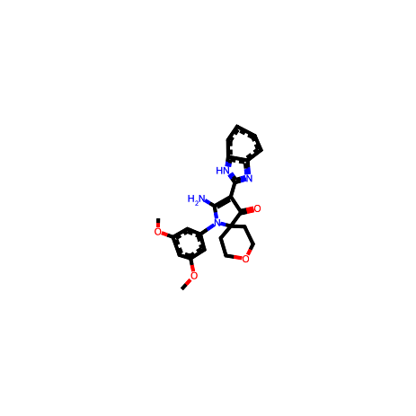 COc1cc(OC)cc(N2C(N)=C(c3nc4ccccc4[nH]3)C(=O)C23CCOCC3)c1